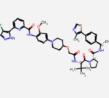 COc1cc(N2CCC(OCC(=O)N[C@H](C(=O)N3CCC[C@H]3C(=O)N[C@@H](C)c3ccc(-c4scnc4C)cc3)C(C)(C)C)CC2)ccc1NC(=O)c1cccc(-c2[nH]ncc2F)n1